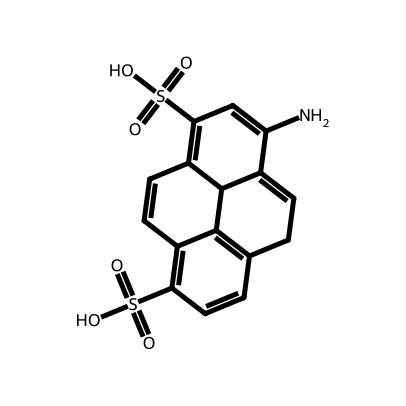 NC1=CC(S(=O)(=O)O)=C2C=Cc3c(S(=O)(=O)O)ccc4c3C2C1=CC4